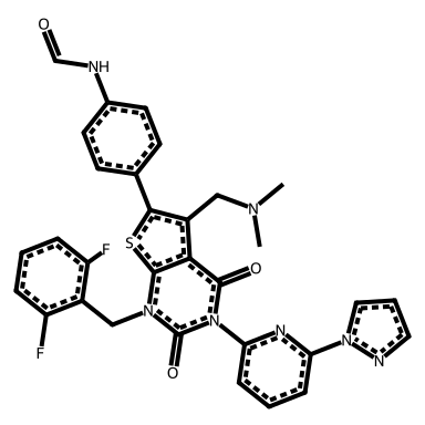 CN(C)Cc1c(-c2ccc(NC=O)cc2)sc2c1c(=O)n(-c1cccc(-n3cccn3)n1)c(=O)n2Cc1c(F)cccc1F